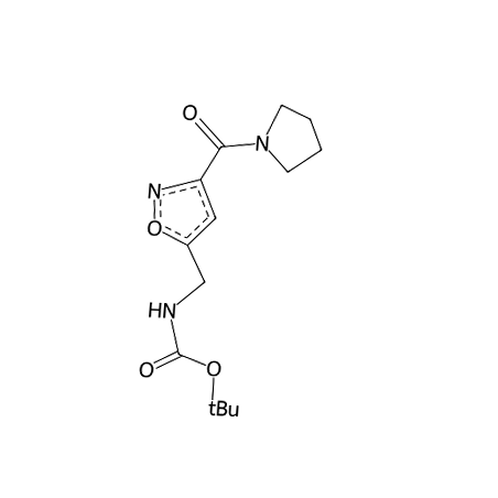 CC(C)(C)OC(=O)NCc1cc(C(=O)N2CCCC2)no1